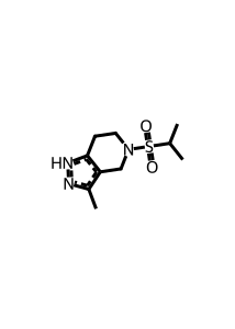 Cc1n[nH]c2c1CN(S(=O)(=O)C(C)C)CC2